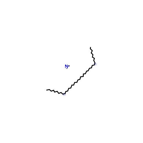 CCCCCCCC/C=C\CCCCCCCCCCCCCCCCCCC/C=C\CCCCCCCC.CN(C)C